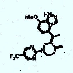 C=C1CCN(c2ncc(C(F)(F)F)cn2)C/C1=C(/C)c1ccc(OC)c2[nH]ccc12